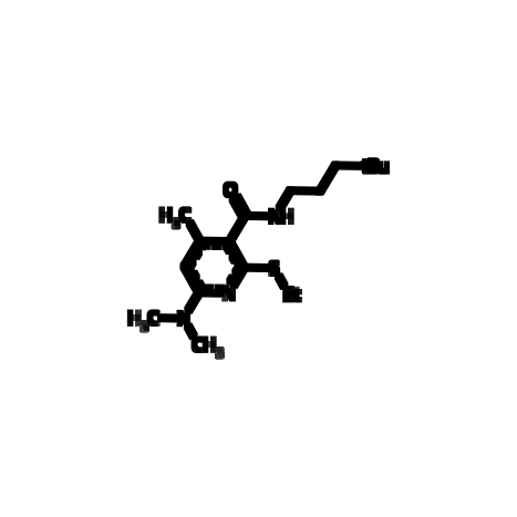 CCSc1nc(N(C)C)cc(C)c1C(=O)NCCCC(C)(C)C